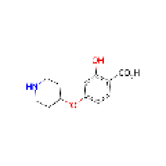 O=C(O)c1ccc(OC2CCNCC2)cc1O